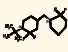 CC(C)(C)[C@@H]1CCC(C[C@H]2CCCCC2(F)F)CC1(F)F